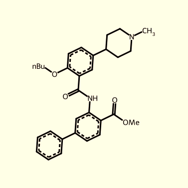 CCCCOc1ccc(C2CCN(C)CC2)cc1C(=O)Nc1cc(-c2ccccc2)ccc1C(=O)OC